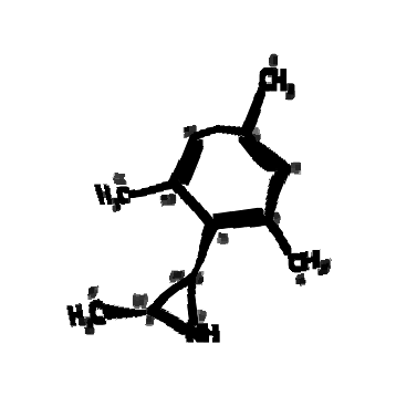 Cc1cc(C)c([C@H]2N[C@@H]2C)c(C)c1